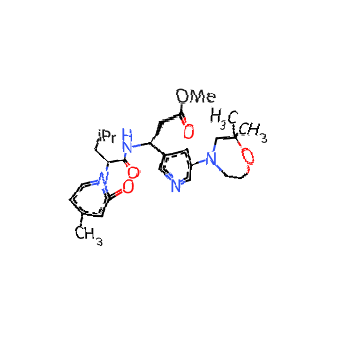 COC(=O)C[C@H](NC(=O)C(CC(C)C)n1ccc(C)cc1=O)c1cncc(N2CCOC(C)(C)C2)c1